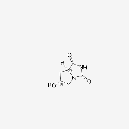 O=C1NC(=O)N2C[C@H](O)C[C@@H]12